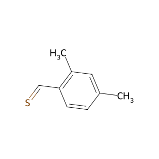 Cc1ccc(C=S)c(C)c1